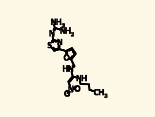 CCCCNC(=C[N+](=O)[O-])NCc1ccc(-c2csc(N=C(N)N)n2)o1